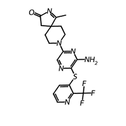 CC1=NC(=O)CC12CCN(c1cnc(Sc3cccnc3C(F)(F)F)c(N)n1)CC2